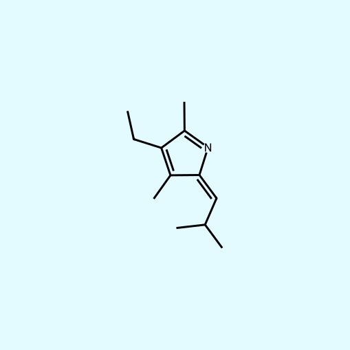 CCC1=C(C)/C(=C\C(C)C)N=C1C